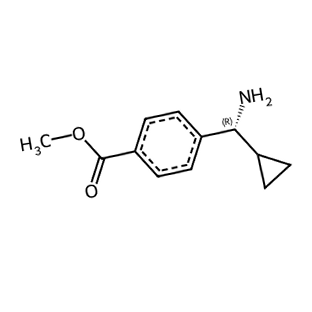 COC(=O)c1ccc([C@H](N)C2CC2)cc1